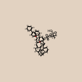 C1=C[N+]23C=CCC4=C(C5=CNC=C(/C=C/c6ccc(-c7ccccn7)cc6)C=C5CC4)C2(CCCC3)C(/C=C/c2ccc(-c3ccccn3)cc2)=C1.O=S(=O)(O)C(F)(F)F.O=S(=O)([O-])C(F)(F)F